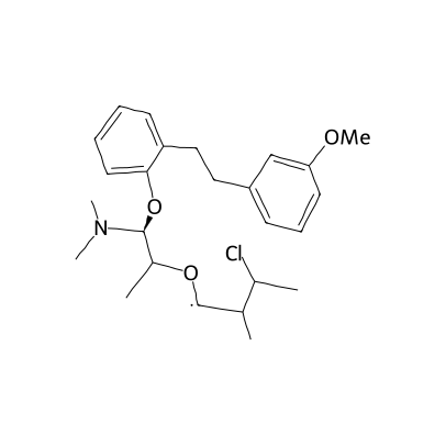 COc1cccc(CCc2ccccc2O[C@@H](C(C)O[CH]C(C)C(C)Cl)N(C)C)c1